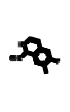 Cc1cc2c(cc1F)C=CNC2C=O